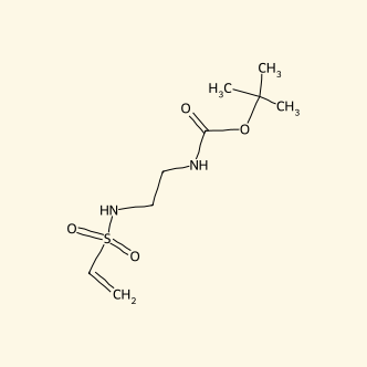 C=CS(=O)(=O)NCCNC(=O)OC(C)(C)C